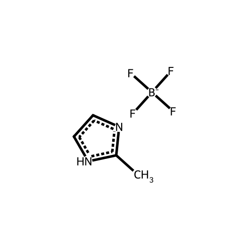 Cc1ncc[nH]1.F[B-](F)(F)F